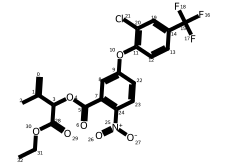 C=C(C)C(OC(=O)c1cc(Oc2ccc(C(F)(F)F)cc2Cl)ccc1[N+](=O)[O-])C(=O)OCC